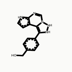 OCc1ccc(C2=C3c4cc[nH]c4N=CN3NN2)cc1